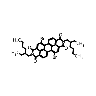 CCCCC(CC)CN1C(=O)c2ccc3c4c(Br)cc5c6c(ccc(c7c(Br)cc(c2c37)C1=O)c64)C(=O)N(CC(CC)CCCC)C5=O